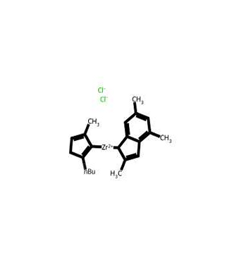 CCCCC1=[C]([Zr+2][CH]2C(C)=Cc3c(C)cc(C)cc32)C(C)=CC1.[Cl-].[Cl-]